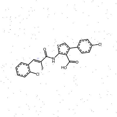 O=C(Nc1scc(-c2ccc(Cl)cc2)c1C(=O)O)/C(F)=C/c1ccccc1Cl